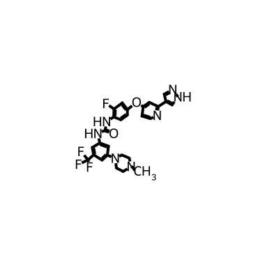 CN1CCN(c2cc(NC(=O)Nc3ccc(Oc4ccnc(-c5cn[nH]c5)c4)cc3F)cc(C(F)(F)F)c2)CC1